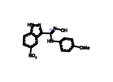 COc1ccc(N/C(=N\O)c2n[nH]c3ccc([N+](=O)[O-])cc23)cc1